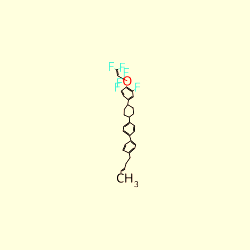 C/C=C/CCc1ccc(-c2ccc(C3CCC(c4cc(F)c(OC(F)(F)C=C(F)F)c(F)c4)CC3)cc2)cc1